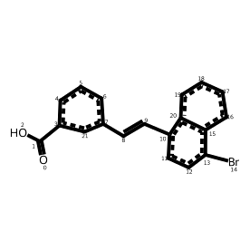 O=C(O)c1cccc(C=Cc2ccc(Br)c3ccccc23)c1